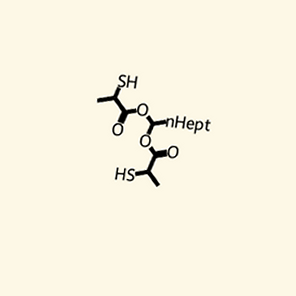 CCCCCCCC(OC(=O)C(C)S)OC(=O)C(C)S